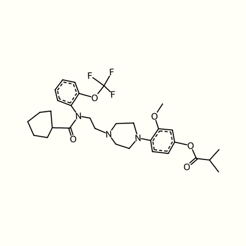 COc1cc(OC(=O)C(C)C)ccc1N1CCN(CCN(C(=O)C2CCCCC2)c2ccccc2OC(F)(F)F)CC1